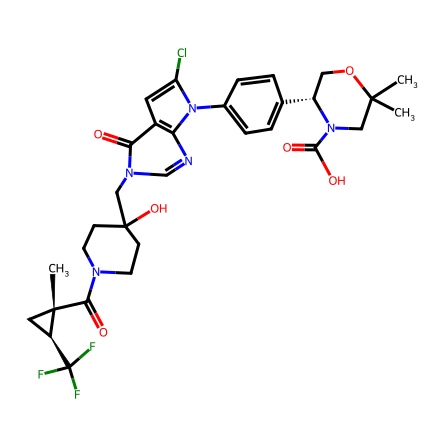 CC1(C)CN(C(=O)O)[C@H](c2ccc(-n3c(Cl)cc4c(=O)n(CC5(O)CCN(C(=O)[C@@]6(C)C[C@@H]6C(F)(F)F)CC5)cnc43)cc2)CO1